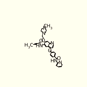 CC#CC(=O)Nc1cc2c(Oc3ccc(C(=O)Nc4ccccn4)cc3)ccnc2cc1OCCN1CCN(C)CC1